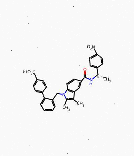 CCOC(=O)c1ccc(-c2ccccc2Cn2c(C)c(C)c3cc(C(=O)N[C@@H](C)c4ccc([N+](=O)[O-])cc4)ccc32)cc1